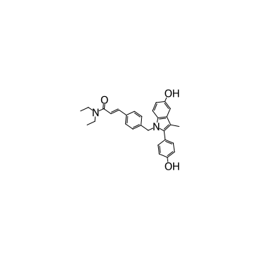 CCN(CC)C(=O)/C=C/c1ccc(Cn2c(-c3ccc(O)cc3)c(C)c3cc(O)ccc32)cc1